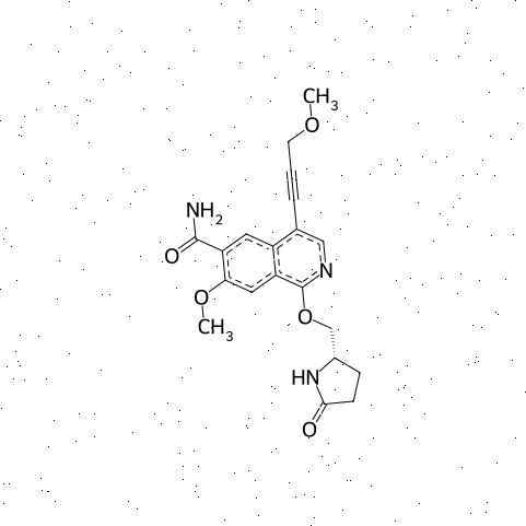 COCC#Cc1cnc(OC[C@@H]2CCC(=O)N2)c2cc(OC)c(C(N)=O)cc12